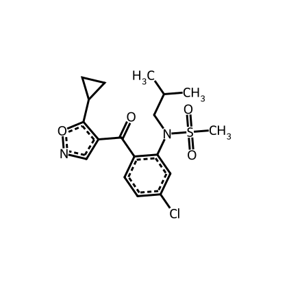 CC(C)CN(c1cc(Cl)ccc1C(=O)c1cnoc1C1CC1)S(C)(=O)=O